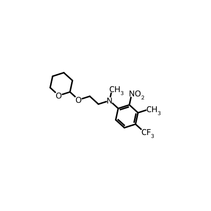 Cc1c(C(F)(F)F)ccc(N(C)CCOC2CCCCO2)c1[N+](=O)[O-]